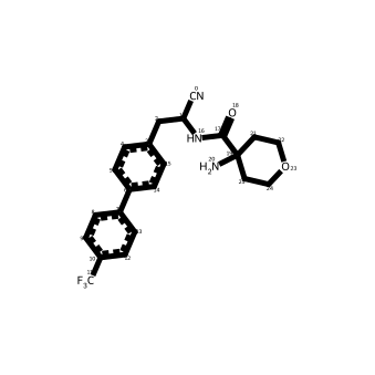 N#CC(Cc1ccc(-c2ccc(C(F)(F)F)cc2)cc1)NC(=O)C1(N)CCOCC1